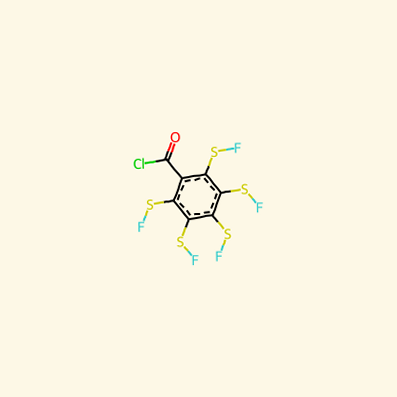 O=C(Cl)c1c(SF)c(SF)c(SF)c(SF)c1SF